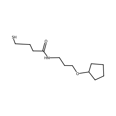 O=C(CCCS)NCCCOC1CCCC1